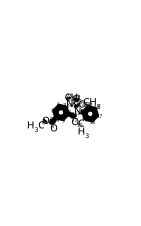 COC(=O)c1ccc2c(c1)C(=O)N(c1c(C)cccc1C)S(=O)(=O)N2C